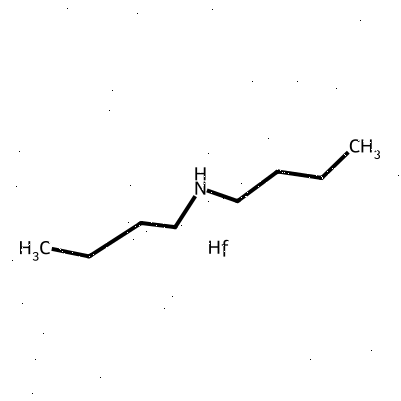 CCCCNCCCC.[Hf]